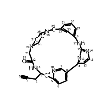 C#CCC1Cc2ccc(cn2)-c2ccnc(n2)Nc2cccc(c2)CN2CCN(CC2)CC(=O)N1